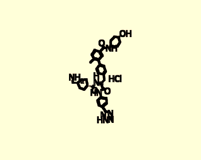 Cc1ccc(C(=O)N[C@H]2CC[C@H](O)CC2)cc1-c1ccc(C[C@H](NC(=O)[C@H]2CC[C@H](CN)CC2)C(=O)Nc2ccc(-c3nn[nH]n3)cc2)cc1.Cl